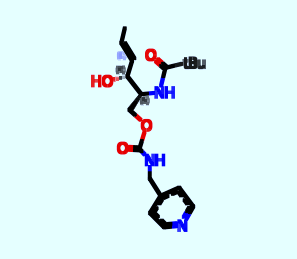 C/C=C/[C@@H](O)[C@H](COC(=O)NCc1ccncc1)NC(=O)C(C)(C)C